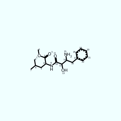 COC(=O)C(CC(C)C)NC(=O)C(O)C(N)Cc1ccccc1